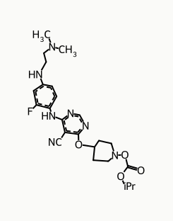 CC(C)OC(=O)ON1CCC(Oc2ncnc(Nc3ccc(NCCN(C)C)cc3F)c2C#N)CC1